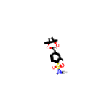 CCN(C)S(=O)(=O)c1ccc(B2OC(C)(C)C(C)(C)O2)cc1C